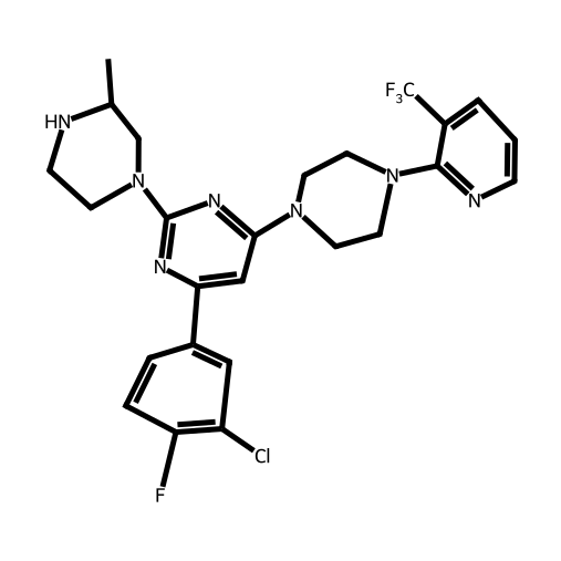 CC1CN(c2nc(-c3ccc(F)c(Cl)c3)cc(N3CCN(c4ncccc4C(F)(F)F)CC3)n2)CCN1